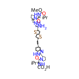 COC(=O)N[C@@H](C(=O)N1CCC[C@@H]1CN/C=C(\N)c1cc2sc(C#Cc3ccc4[nH]c(C5CCCN5C(=O)[C@H](NC(=O)O)C(C)C)nc4c3)cc2s1)C(C)C